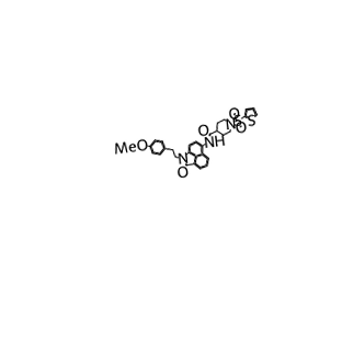 COc1ccc(CCN2C(=O)c3cccc4c(NC(=O)C5CCN(S(=O)(=O)c6cccs6)CC5)ccc2c34)cc1